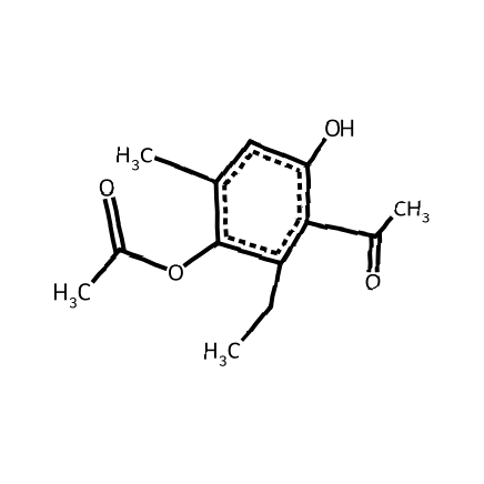 CCc1c(OC(C)=O)c(C)cc(O)c1C(C)=O